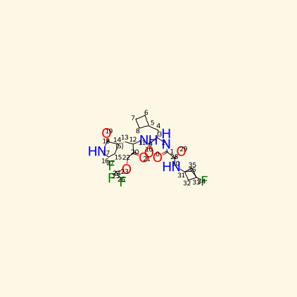 O=C(NC(CC1CCC1)C(=O)NC(C[C@@H]1CCNC1=O)C(=O)COC(F)(F)F)C(=O)NC12CC(F)(C1)C2